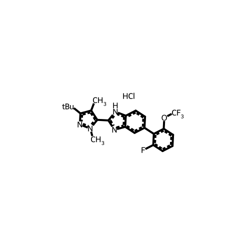 Cc1c(C(C)(C)C)nn(C)c1-c1nc2cc(-c3c(F)cccc3OC(F)(F)F)ccc2[nH]1.Cl